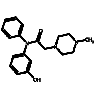 CN1CCN(CC(=O)N(c2ccccc2)c2cccc(O)c2)CC1